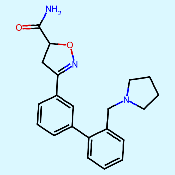 NC(=O)C1CC(c2cccc(-c3ccccc3CN3CCCC3)c2)=NO1